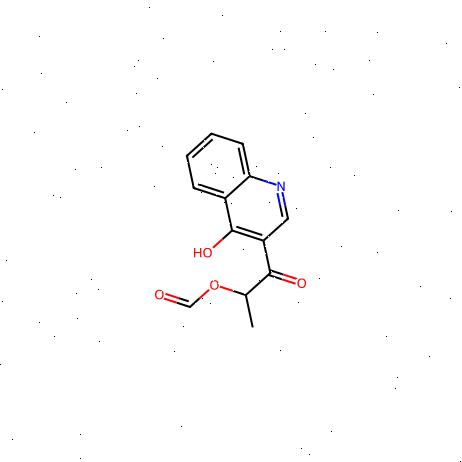 CC(OC=O)C(=O)c1cnc2ccccc2c1O